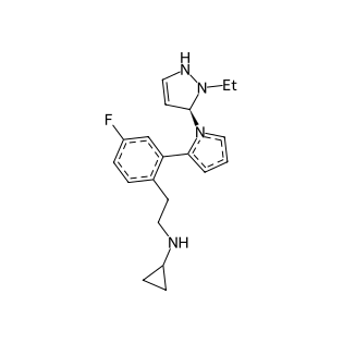 CCN1NC=C[C@@H]1n1cccc1-c1cc(F)ccc1CCNC1CC1